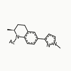 CC(=O)N1c2ccc(-c3ccn(C)n3)cc2CC[C@@H]1C